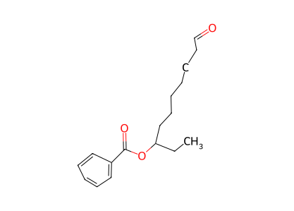 CCC(CCCCCCC=O)OC(=O)c1ccccc1